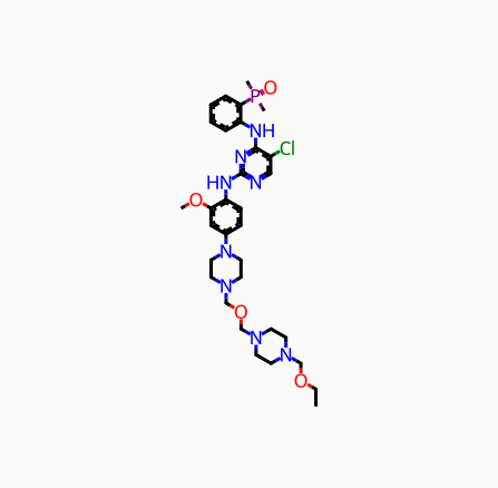 CCOCN1CCN(COCN2CCN(c3ccc(Nc4ncc(Cl)c(Nc5ccccc5P(C)(C)=O)n4)c(OC)c3)CC2)CC1